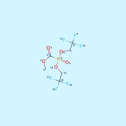 COC(=O)P(=O)(OCC(F)(F)F)OCC(F)(F)F